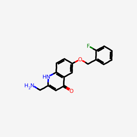 NCc1cc(=O)c2cc(OCc3ccccc3F)ccc2[nH]1